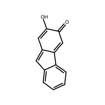 O=C1C=C2C(=Cc3ccccc32)C=C1O